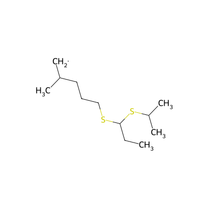 [CH2]C(C)CCCSC(CC)SC(C)C